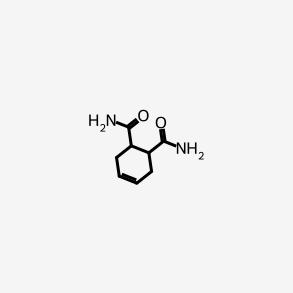 NC(=O)C1CC=CCC1C(N)=O